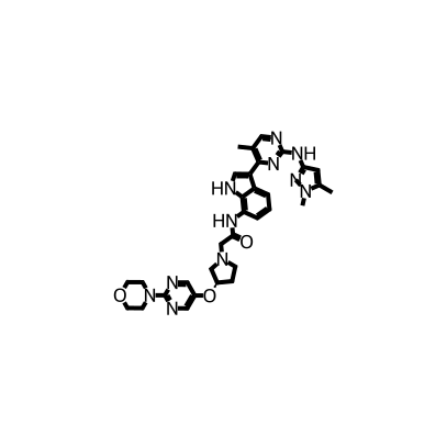 Cc1cnc(Nc2cc(C)n(C)n2)nc1-c1c[nH]c2c(NC(=O)CN3CC[C@H](Oc4cnc(N5CCOCC5)nc4)C3)cccc12